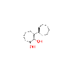 OC1=C(C2=CCCCCC2)CCCCC1O